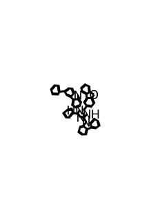 c1ccc(-c2ccc3c(c2)c2ccccc2n3-c2cccc3oc4ccc(C5NC(n6c7ccccc7c7ccccc76)=NC(c6ccccc6)N5)cc4c23)cc1